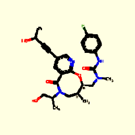 CCCC(O)C#Cc1cnc2c(c1)C(=O)N(C(C)CO)C[C@H](C)[C@H](CN(C)C(=O)Nc1ccc(F)cc1)O2